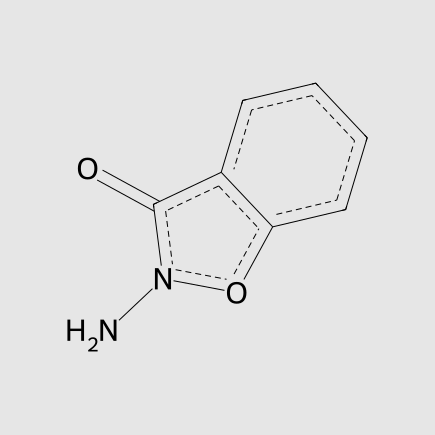 Nn1oc2ccccc2c1=O